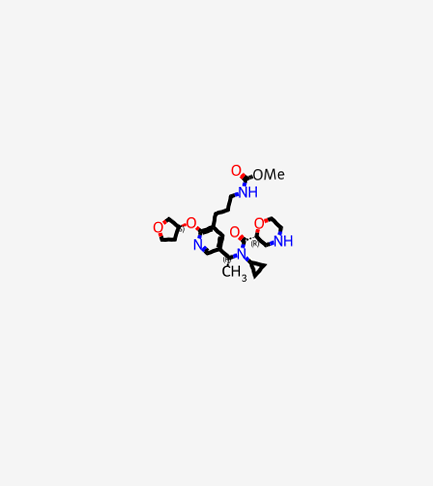 COC(=O)NCCCc1cc([C@@H](C)N(C(=O)[C@H]2CNCCO2)C2CC2)cnc1O[C@H]1CCOC1